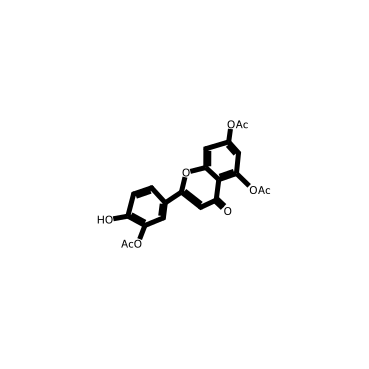 CC(=O)Oc1cc(OC(C)=O)c2c(=O)cc(-c3ccc(O)c(OC(C)=O)c3)oc2c1